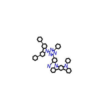 N#Cc1cc(-c2nc(-c3ccccc3)nc(-n3c4ccc(-c5ccccc5)cc4c4cc(-c5ccccc5)ccc43)n2)ccc1-n1c2ccccc2c2cc3c4ccccc4n(-c4ccccc4)c3cc21